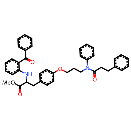 COC(=O)C(Cc1ccc(OCCCN(C(=O)CCc2ccccc2)c2ccccc2)cc1)Nc1ccccc1C(=O)c1ccccc1